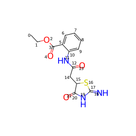 CCOC(=O)c1ccccc1NC(=O)CC1SC(=N)NC1=O